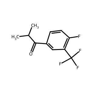 CC(C)C(=O)c1ccc(F)c(C(F)(F)F)c1